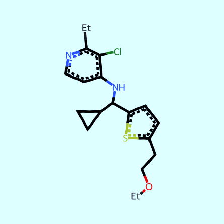 CCOCCc1ccc(C(Nc2ccnc(CC)c2Cl)C2CC2)s1